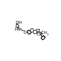 CN(Cc1ccccc1)C1CCC2C3CCc4cc(OCCCN[C@@H]5CC[C@@H](O)C5)ccc4C3CC[C@@]21C